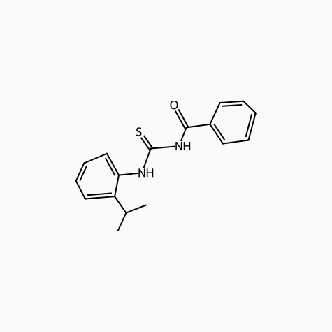 CC(C)c1ccccc1NC(=S)NC(=O)c1ccccc1